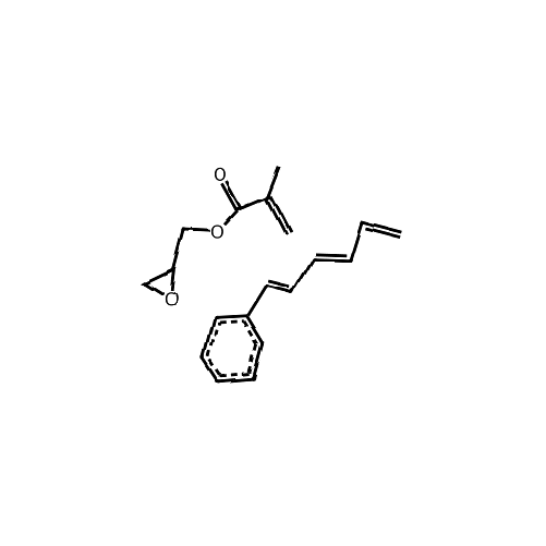 C=C(C)C(=O)OCC1CO1.C=CC=CC=Cc1ccccc1